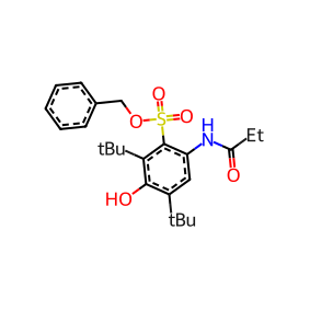 CCC(=O)Nc1cc(C(C)(C)C)c(O)c(C(C)(C)C)c1S(=O)(=O)OCc1ccccc1